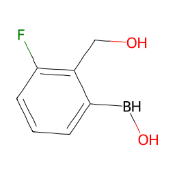 OBc1cccc(F)c1CO